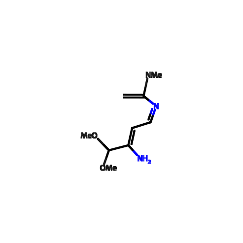 C=C(/N=C\C=C(/N)C(OC)OC)NC